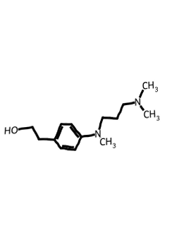 CN(C)CCCN(C)c1ccc(CCO)cc1